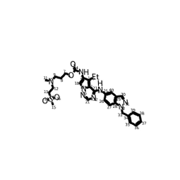 CCc1c(NC(=O)OCCCN(C)CCS(C)(=O)=O)cn2ncnc(Nc3ccc4c(cnn4Cc4ccccc4)c3)c12